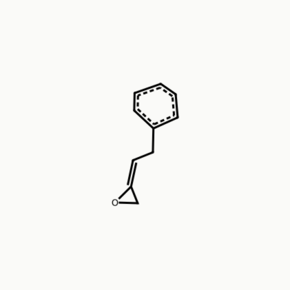 C(Cc1ccccc1)=C1CO1